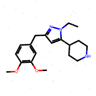 CCn1nc(Cc2ccc(OC)c(OC)c2)cc1C1CCNCC1